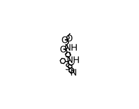 CCOC(=O)CCNC(=O)c1ccc(NC(c2sc3ccncc3c2C)C2CCCCC2)cc1